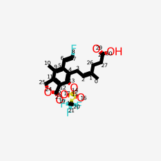 CC(=CCc1c(C=CF)c(C)c2c(c1OS(=O)(=O)C(F)(F)F)C(=O)OC2)CCC(=O)O